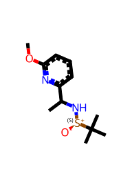 COc1cccc(C(C)N[S@+]([O-])C(C)(C)C)n1